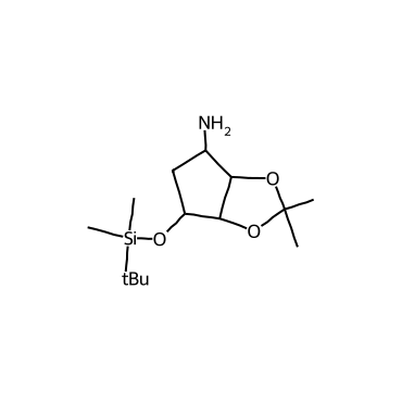 CC1(C)OC2C(N)CC(O[Si](C)(C)C(C)(C)C)C2O1